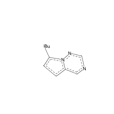 CCC(C)c1ccc2cncnn12